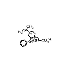 C=C(C)[C@H]1CC[C@@](O)(CCC(=O)O)[C@@H]([Se]c2ccccc2)C1